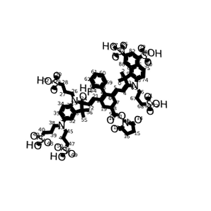 CC1(C)/C(=C\C=C2/CC(C(=O)ON3C(=O)CCC3=O)CC(/C=C/C3(O)N(CCCS(=O)(=O)O)c4ccc(N(CCCS(=O)(=O)O)CCCS(=O)(=O)O)cc4C3(C)C)=C2c2ccccc2F)N(CCCS(=O)(=O)O)c2ccc3c(S(=O)(=O)O)cc(S(=O)(=O)O)cc3c21